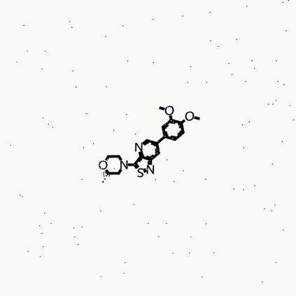 COc1ccc(-c2cnc3c(N4CCO[C@@H](C)C4)snc3c2)cc1OC